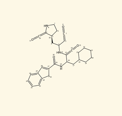 O=C=CC(C[C@@H]1CCNC1=C=O)NC(=C=O)C(CC1CCCCC1)NC(=O)c1cc2ccccc2s1